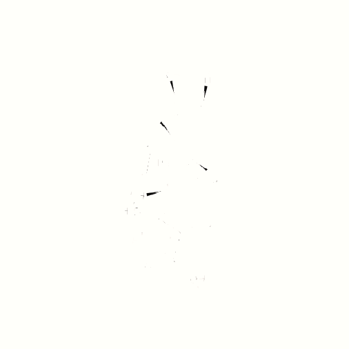 C[C@@H]1C[C@]23CC[C@H]4C(C)(C)C(C(=O)O)=CC[C@]4(C)[C@H]2CC[C@@H]1C3